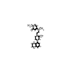 CN(CCN1CCN(c2cccc3c2OCCO3)CC1)c1cnn(C)c(=O)c1.Cl